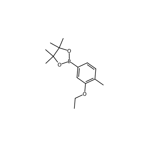 CCOc1cc(B2OC(C)(C)C(C)(C)O2)ccc1C